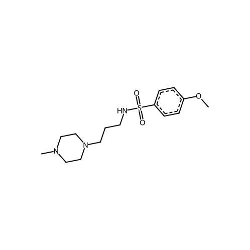 COc1ccc(S(=O)(=O)NCCCN2CCN(C)CC2)cc1